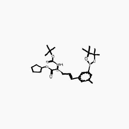 Cc1cc(C=CC[C@H](NC(=O)OC(C)(C)C)C(=O)OC2CCCC2)cc(B2OC(C)(C)C(C)(C)O2)c1